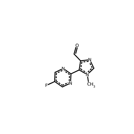 Cn1cnc(C=O)c1-c1ncc(F)cn1